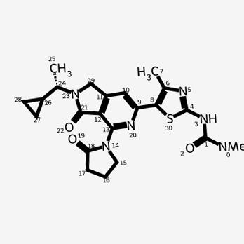 CNC(=O)Nc1nc(C)c(-c2cc3c(c(N4CCCC4=O)n2)C(=O)N([C@@H](C)C2CC2)C3)s1